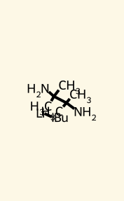 CC(C)(N)C(C)(C)N.[Li][CH](C)CC